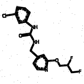 O=C(NCc1ccnc(OCC(F)CF)c1)Nc1cccc(Cl)c1